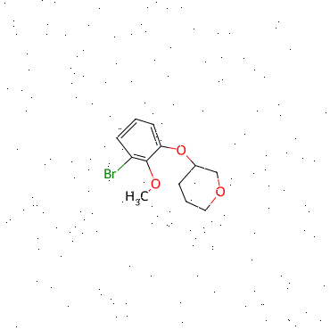 COc1c(Br)cccc1OC1CCCOC1